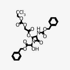 O=C(COC(=O)OCC(Cl)(Cl)Cl)O[C@@H]1[C@H](NC(=O)OCc2ccccc2)C(=O)N1C(O)C(=O)OCc1ccccc1